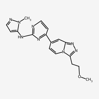 COCCc1nnc2cc(-c3ccnc(Nc4ccnn4C)n3)ccn12